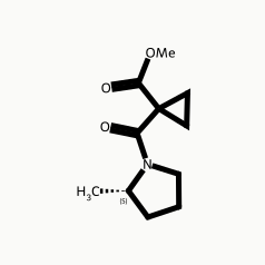 COC(=O)C1(C(=O)N2CCC[C@@H]2C)CC1